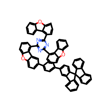 c1ccc2c(c1)-c1ccccc1C21c2ccccc2-c2cc(-c3ccc(-c4ccc5oc6cccc(-c7nc(-c8cccc9oc%10ccccc%10c89)nc(-c8cccc9oc%10ccccc%10c89)n7)c6c5c4)cc3)ccc21